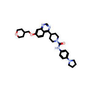 O=C(Nc1ccc(N2CCCC2)cc1)N1CCC(c2ncnc3cc(OCC4CCOCC4)ccc23)CC1